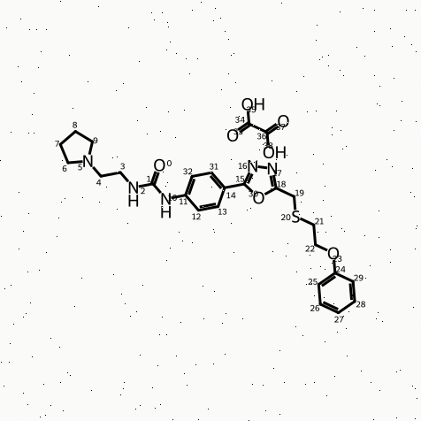 O=C(NCCN1CCCC1)Nc1ccc(-c2nnc(CSCCOc3ccccc3)o2)cc1.O=C(O)C(=O)O